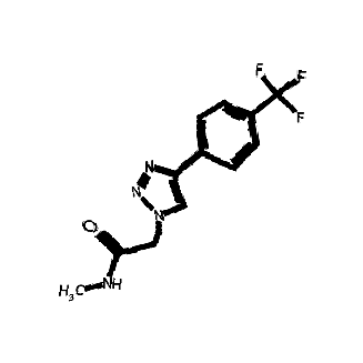 CNC(=O)Cn1cc(-c2ccc(C(F)(F)F)cc2)nn1